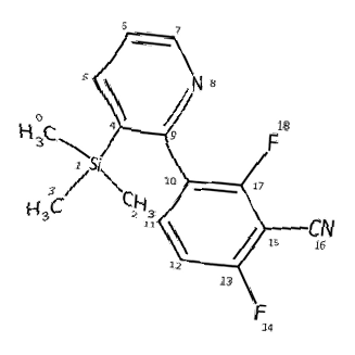 C[Si](C)(C)c1cccnc1-c1ccc(F)c(C#N)c1F